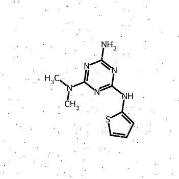 CN(C)c1nc(N)nc(Nc2cccs2)n1